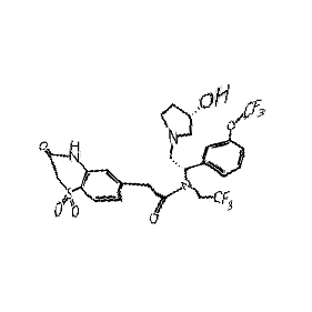 O=C1CS(=O)(=O)c2ccc(CC(=O)N(CC(F)(F)F)[C@H](CN3CC[C@H](O)C3)c3cccc(OC(F)(F)F)c3)cc2N1